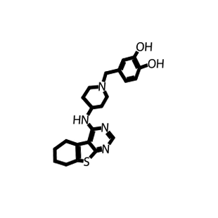 Oc1ccc(CN2CCC(Nc3ncnc4sc5c(c34)CCCC5)CC2)cc1O